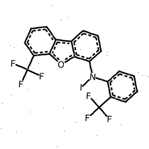 FC(F)(F)c1ccccc1N(I)c1cccc2c1oc1c(C(F)(F)F)cccc12